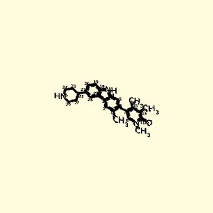 Cc1cc2c(cc1-c1cn(C)c(=O)c(C)c1C)[nH]c1ccc(C3CCNCC3)cc12